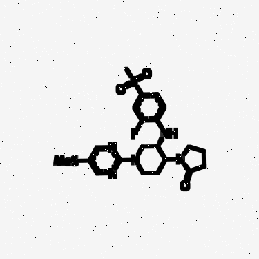 CSc1cnc(N2CCC(N3CCCC3=O)[C@H](Nc3ccc(S(C)(=O)=O)cc3F)C2)nc1